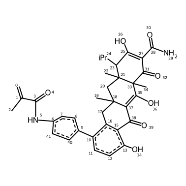 C=C(C)C(=O)Nc1ccc(-c2ccc(O)c3c2CC2(C)CC4(C)C(C(C)C)C(O)=C(C(N)=O)C(=O)C4(C)C(O)=C2C3=O)cc1